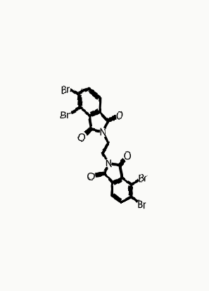 O=C1c2ccc(Br)c(Br)c2C(=O)N1CCN1C(=O)c2ccc(Br)c(Br)c2C1=O